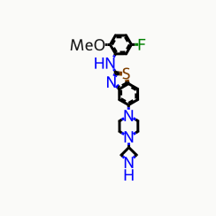 COc1ccc(F)cc1Nc1nc2cc(N3CCN(C4CNC4)CC3)ccc2s1